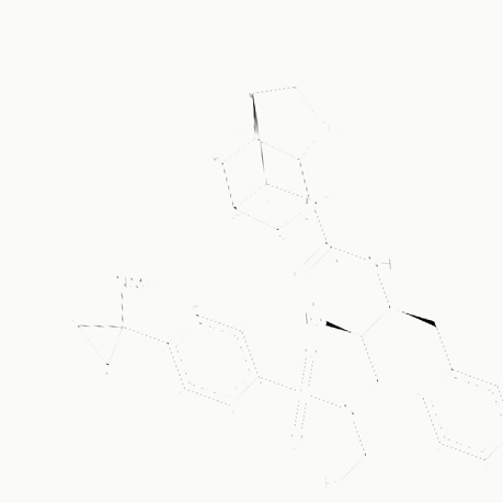 CNC1(c2ccc(S(=O)(=O)N(CC(C)C)C[C@@H](O)[C@H](Cc3ccccc3)NC(=O)OC3C4COC5OCC3C5C4)cc2)CC1